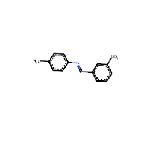 Cc1ccc(N=Cc2cccc([N+](=O)[O-])c2)cc1